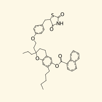 CCCCCc1cc2c(cc1OC(=O)c1cccc3ccccc13)CCC(CCC)(CCOc1ccc(CC3SC(=O)NC3=O)cc1)O2